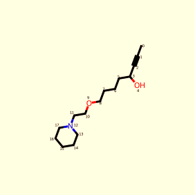 CC#CC(O)CCCCOCCN1CCCCC1